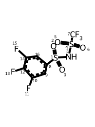 O=S(=O)(NS(=O)(=O)C(F)(F)F)c1cc(F)c(F)c(F)c1